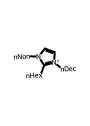 CCCCCCCCCC[n+]1ccn(CCCCCCCCC)c1CCCCCC